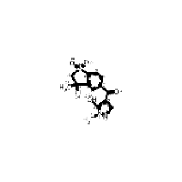 Cn1ncc(C(=O)c2ccc3c(c2)C(C)(C)CS3(=O)=O)c1O